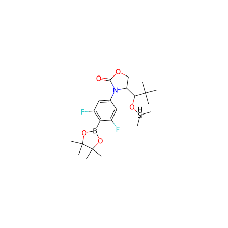 C[SiH](C)OC(C1COC(=O)N1c1cc(F)c(B2OC(C)(C)C(C)(C)O2)c(F)c1)C(C)(C)C